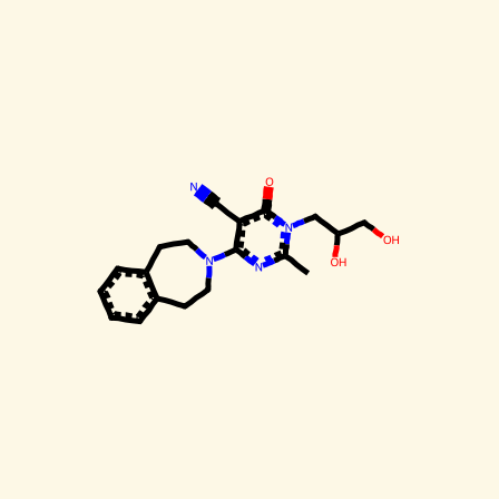 Cc1nc(N2CCc3ccccc3CC2)c(C#N)c(=O)n1CC(O)CO